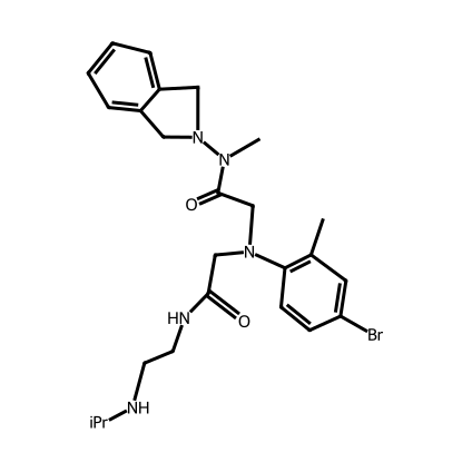 Cc1cc(Br)ccc1N(CC(=O)NCCNC(C)C)CC(=O)N(C)N1Cc2ccccc2C1